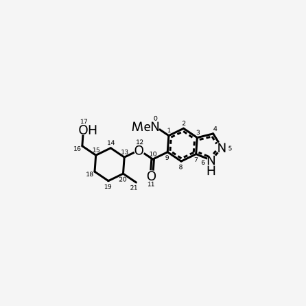 CNc1cc2cn[nH]c2cc1C(=O)OC1CC(CO)CCC1C